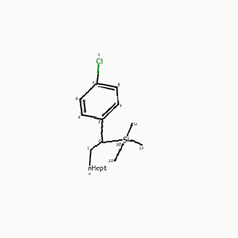 CCCCCCCCC(c1ccc(Cl)cc1)[Si](C)(C)C